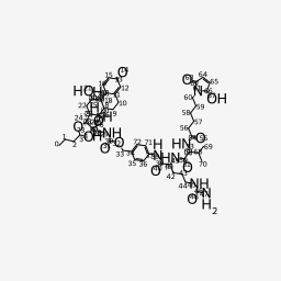 CCCC1O[C@@H]2C[C@H]3[C@@H]4CCC5=CC(=O)C=C[C@]5(C)[C@H]4[C@@H](O)C[C@]3(C)[C@]2(C(=O)CNC(=O)OCc2ccc(NC(=O)[C@H](CCCNC(N)=O)NC(=O)[C@@H](NC(=O)CCCCCN3C(=O)C=CC3O)C(C)C)cc2)O1